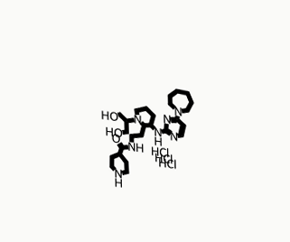 Cl.Cl.Cl.O=C(NCCC1C(Nc2nccc(N3CCCCCC3)n2)CCCN1C(CO)CO)C1CCNCC1